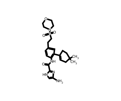 CC1(C)CC=C(c2cc(CCS(=O)(=O)N3CCOCC3)ccc2NC(=O)c2nc(N)c[nH]2)CC1